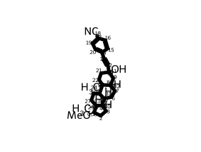 CO[C@H]1CC[C@H]2[C@@H]3CC[C@@H]4C[C@@](O)(C#Cc5ccc(C#N)cc5)CC[C@]4(C)[C@H]3CC[C@]12C